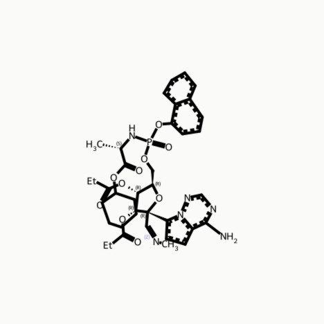 CCC(=O)O[C@H]1[C@@H](OC(=O)CC)[C@](/C=N\C)(c2ccc3c(N)ncnn23)O[C@@H]1COP(=O)(N[C@@H](C)C(=O)OC1CCCCC1)Oc1cccc2ccccc12